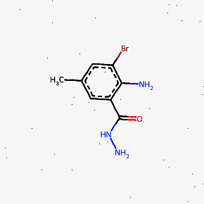 Cc1cc(Br)c(N)c(C(=O)NN)c1